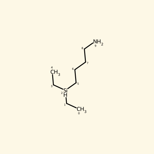 CC[SiH](CC)CCCCN